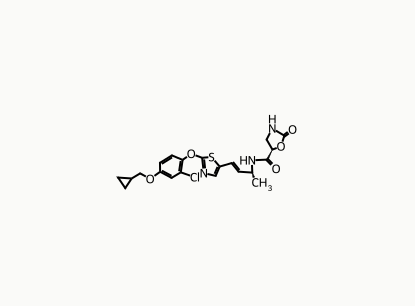 C[C@@H](/C=C/c1cnc(Oc2ccc(OCC3CC3)cc2Cl)s1)NC(=O)[C@H]1CNC(=O)O1